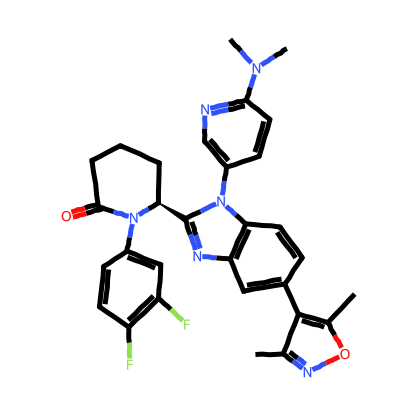 Cc1noc(C)c1-c1ccc2c(c1)nc([C@@H]1CCCC(=O)N1c1ccc(F)c(F)c1)n2-c1ccc(N(C)C)nc1